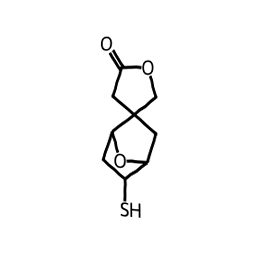 O=C1CC2(CO1)CC1OC2CC1S